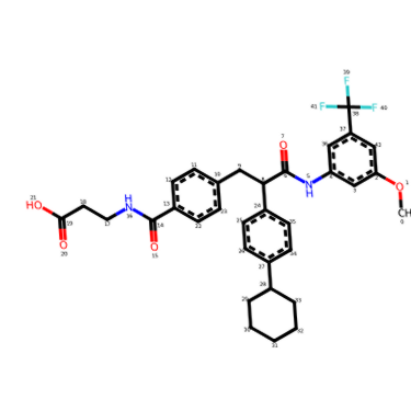 COc1cc(NC(=O)C(Cc2ccc(C(=O)NCCC(=O)O)cc2)c2ccc(C3CCCCC3)cc2)cc(C(F)(F)F)c1